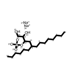 CCCCCCCCC(CCCCCC)CC(OP(=O)([O-])[O-])C(O)CO.[Na+].[Na+]